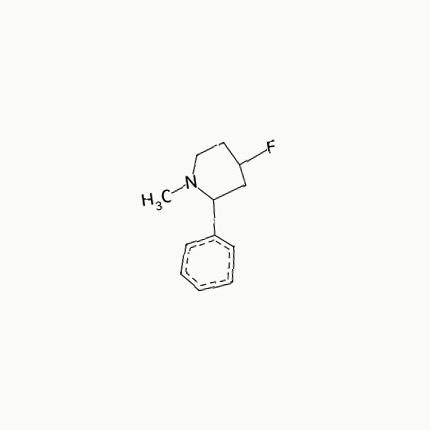 CN1CCC(F)CC1c1ccccc1